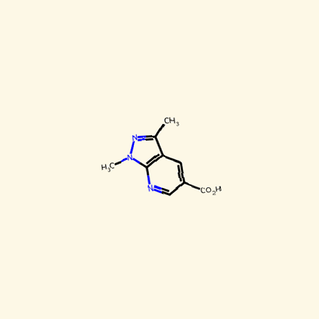 Cc1nn(C)c2ncc(C(=O)O)cc12